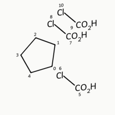 C1CCCC1.O=C(O)Cl.O=C(O)Cl.O=C(O)Cl